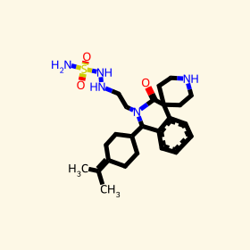 CC(C)=C1CCC(C2c3ccccc3C3(CCNCC3)C(=O)N2CCNNS(N)(=O)=O)CC1